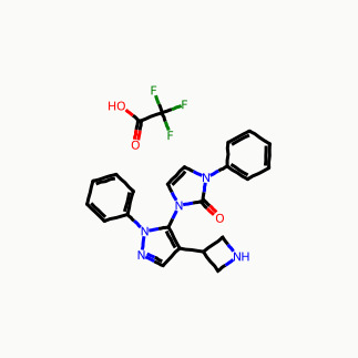 O=C(O)C(F)(F)F.O=c1n(-c2ccccc2)ccn1-c1c(C2CNC2)cnn1-c1ccccc1